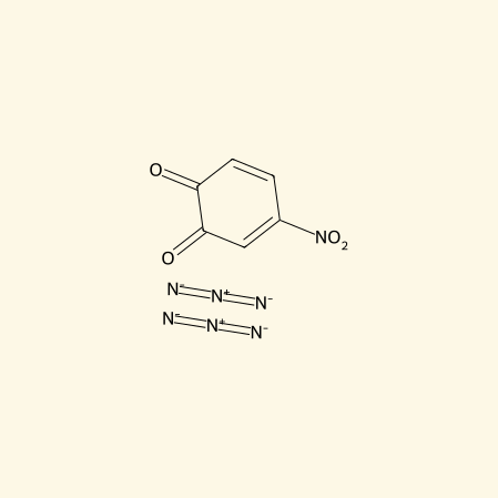 O=C1C=CC([N+](=O)[O-])=CC1=O.[N-]=[N+]=[N-].[N-]=[N+]=[N-]